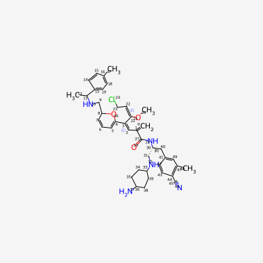 C=C(/C=C(C1=CC=CC(CNC(C)c2ccc(C)cc2)O1)\C(=C/CCl)OC)C(=O)N[C@@H](CNC1CCC(N)CC1)Cc1ccc(C#N)c(C)c1